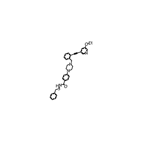 CCOc1cncc(C#Cc2ccccc2CN2CCN(c3ccc(C(=O)NSCc4ccccc4)cc3)CC2)c1